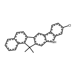 CC1(C)c2cc3[nH]c4cc(Cl)ccc4c3cc2-c2ccc3ccccc3c21